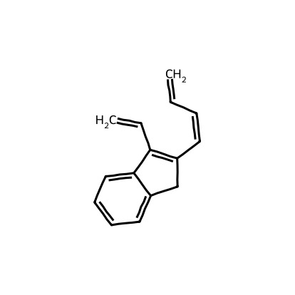 C=C/C=C\C1=C(C=C)c2ccccc2C1